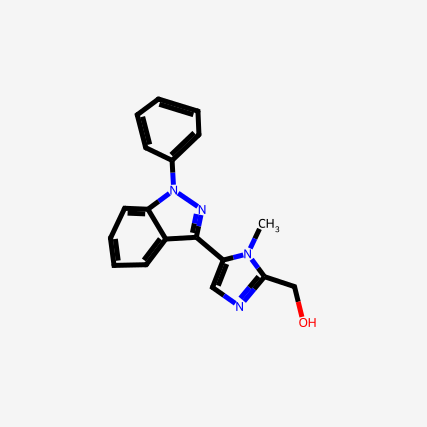 Cn1c(-c2nn(-c3ccccc3)c3ccccc23)cnc1CO